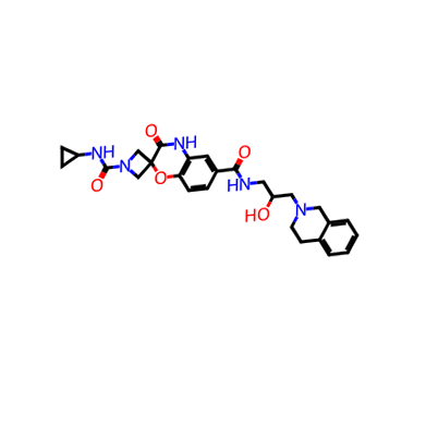 O=C(NCC(O)CN1CCc2ccccc2C1)c1ccc2c(c1)NC(=O)C1(CN(C(=O)NC3CC3)C1)O2